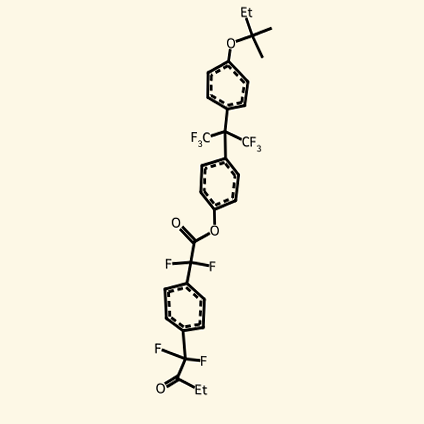 CCC(=O)C(F)(F)c1ccc(C(F)(F)C(=O)Oc2ccc(C(c3ccc(OC(C)(C)CC)cc3)(C(F)(F)F)C(F)(F)F)cc2)cc1